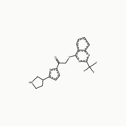 O=C(CSc1nc(C(F)(F)F)nc2ccccc12)c1ccc(C2CCNC2)s1